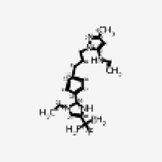 C=CNc1cc(C)nn1CCCc1ccc(C2NC(C(F)(P)P)=CN2CC)cc1